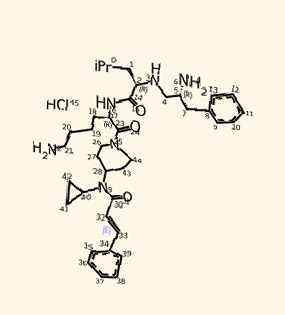 CC(C)C[C@@H](NC[C@H](N)Cc1ccccc1)C(=O)N[C@H](CCCCN)C(=O)N1CCC(N(C(=O)/C=C/c2ccccc2)C2CC2)CC1.Cl